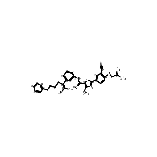 Cc1nc(-c2ccc(OCC(C)C)c(C#N)c2)sc1C(=O)Nc1cccc(C(CCCCc2ccccc2)=C(F)F)c1